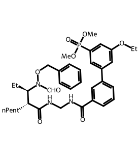 CCCCC[C@@H](C(=O)NCNC(=O)c1cccc(-c2cc(OCC)cc(P(=O)(OC)OC)c2)c1)[C@@H](CC)N(C=O)OCc1ccccc1